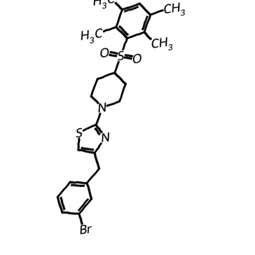 Cc1cc(C)c(C)c(S(=O)(=O)C2CCN(c3nc(Cc4cccc(Br)c4)cs3)CC2)c1C